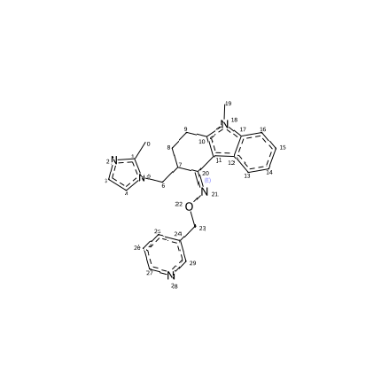 Cc1nccn1CC1CCc2c(c3ccccc3n2C)/C1=N/OCc1cccnc1